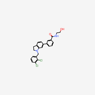 O=C(NCCO)c1cccc(-c2ccc3c(c2)N(Cc2cccc(Cl)c2Cl)CC3)c1